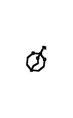 CC[Si]12OCCN(CCO1)CCO2